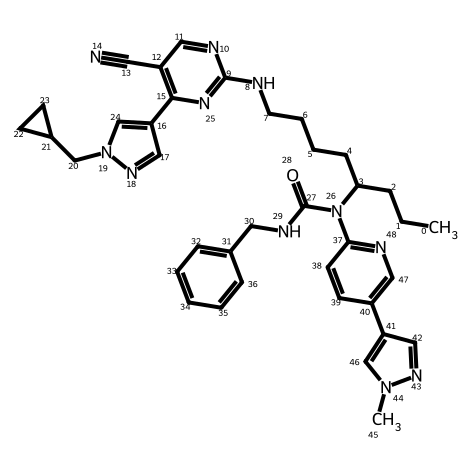 CCCC(CCCCNc1ncc(C#N)c(-c2cnn(CC3CC3)c2)n1)N(C(=O)NCc1ccccc1)c1ccc(-c2cnn(C)c2)cn1